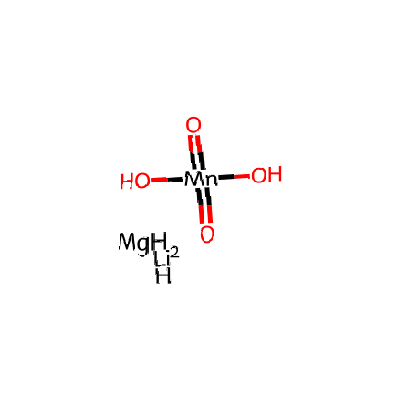 [LiH].[MgH2].[O]=[Mn](=[O])([OH])[OH]